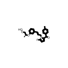 Cc1ccc(C(=O)c2ccc(F)n2C/C=C/c2cccc(O[C@@H](C)COO)c2)cc1